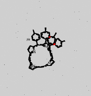 Cc1ccc(-c2c(-c3ccc(C)cc3)c3c(-c4ccc(C)cc4)c4nc(cc5ccc(cc6nc(cc2n3-c2ccc(C)cc2)C=C6)[nH]5)C=C4)cc1.[Fe]